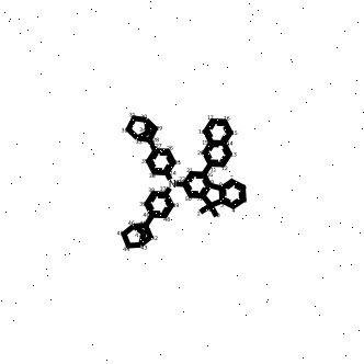 CC1(C)c2ccccc2-c2c(-c3ccc4ccccc4c3)cc(N(c3ccc(C4CC5CCC4C5)cc3)c3ccc(C4CC5CCC4C5)cc3)cc21